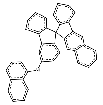 c1ccc2c(c1)-c1cc(Nc3cccc4ccccc34)ccc1C21c2ccccc2-c2cc3ccccc3cc21